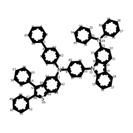 c1ccc(-c2ccc(N(c3ccc(-n4c5ccccc5c5ccc(N(c6ccccc6)c6ccccc6)cc54)cc3)c3ccc4sc(-c5ccccc5)c(-c5ccccc5)c4c3)cc2)cc1